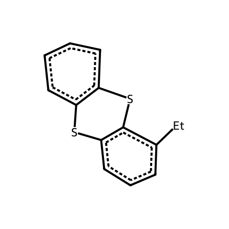 CCc1cccc2c1Sc1ccccc1S2